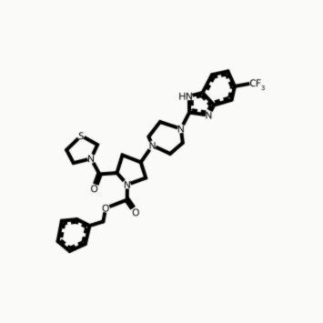 O=C(C1CC(N2CCN(c3nc4cc(C(F)(F)F)ccc4[nH]3)CC2)CN1C(=O)OCc1ccccc1)N1CCSC1